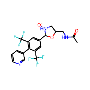 CC(=O)NCC1C[NH+]([O-])C(c2cc(C(F)(F)F)c(-c3cccnc3)c(C(F)(F)F)c2)O1